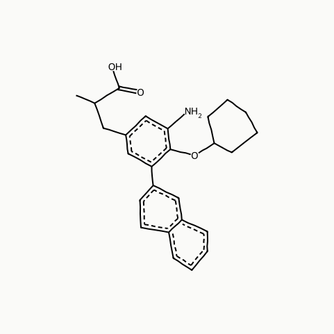 CC(Cc1cc(N)c(OC2CCCCC2)c(-c2ccc3ccccc3c2)c1)C(=O)O